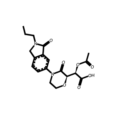 CCCN1Cc2ccc(N3CCO[C@H]([C@@H](OC(C)=O)C(=O)O)C3=O)cc2C1=O